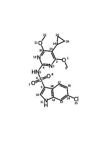 COc1nc(NS(=O)(=O)c2c[nH]c3cc(Cl)ccc23)nc(OC)c1C1CC1